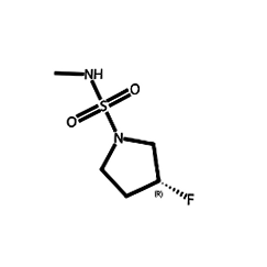 CNS(=O)(=O)N1CC[C@@H](F)C1